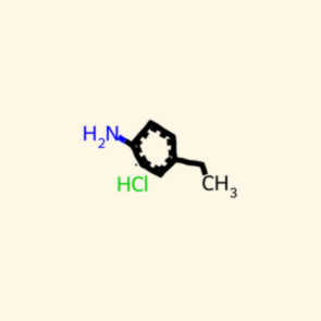 CCc1c[c]c(N)cc1.Cl